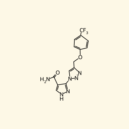 NC(=O)c1c[nH]nc1-n1cc(COc2ccc(C(F)(F)F)cc2)nn1